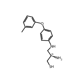 Cc1cccc(Oc2ccc(NC[C@@H](N)CS)cc2)c1